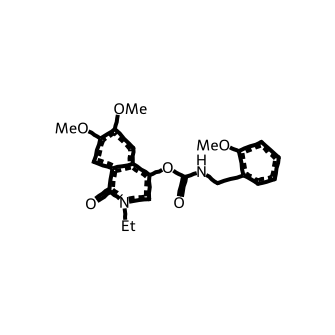 CCn1cc(OC(=O)NCc2ccccc2OC)c2cc(OC)c(OC)cc2c1=O